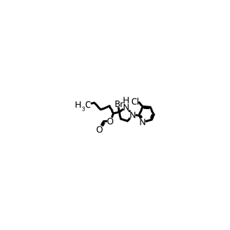 CCCCC(OC=O)C1(Br)CCN(c2ncccc2Cl)N1